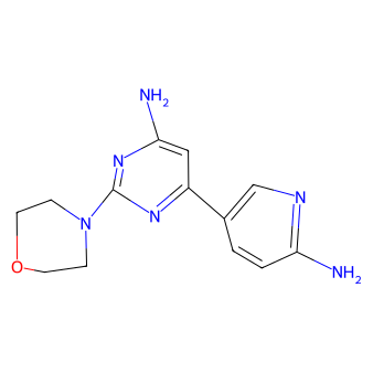 Nc1ccc(-c2cc(N)nc(N3CCOCC3)n2)cn1